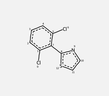 Clc1cccc(Cl)c1-c1nccs1